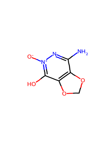 Nc1n[n+]([O-])c(O)c2c1OCO2